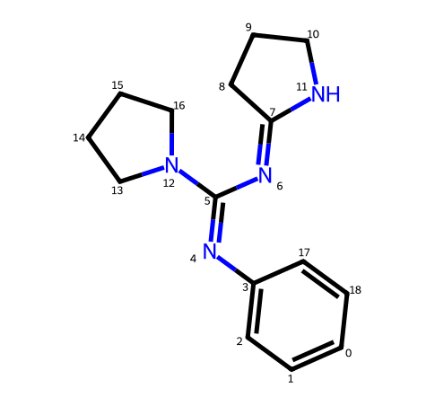 c1ccc(N=C(N=C2CCCN2)N2CCCC2)cc1